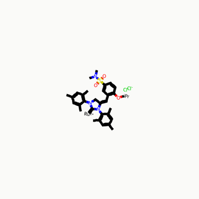 Cc1cc(C)c(N2CC(=Cc3cc(S(=O)(=O)N(C)C)ccc3OC(C)C)N(c3c(C)cc(C)cc3C)[C]2=[Ru+2])c(C)c1.[Cl-].[Cl-]